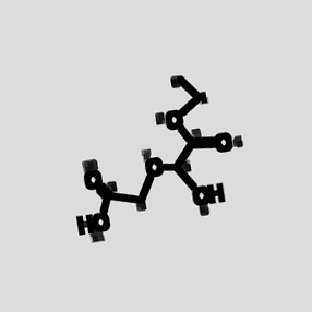 CCOC(=O)C(O)OCC(=O)O